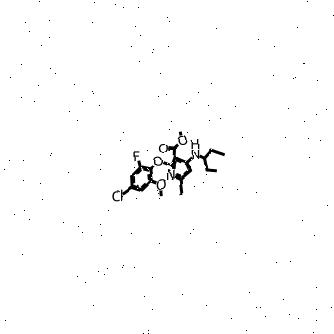 CCC(CC)Nc1cc(C)nc(Oc2c(F)cc(Cl)cc2OC)c1C(=O)OC